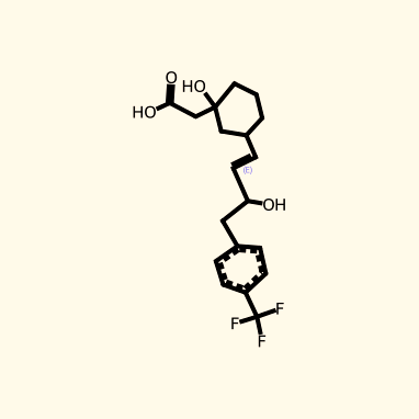 O=C(O)CC1(O)CCCC(/C=C/C(O)Cc2ccc(C(F)(F)F)cc2)C1